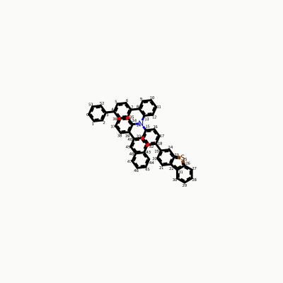 c1ccc(-c2ccc(-c3ccccc3N(c3ccc(-c4ccc5c(c4)sc4ccccc45)cc3)c3ccccc3-c3ccc4ccccc4c3)cc2)cc1